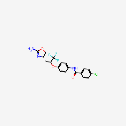 NC1=N[C@@H](CC(Oc2ccc(NC(=O)c3ccc(Cl)cc3)cc2)C(F)(F)F)CO1